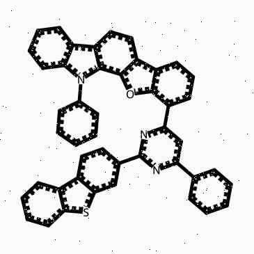 c1ccc(-c2cc(-c3cccc4c3oc3c4ccc4c5ccccc5n(-c5ccccc5)c43)nc(-c3ccc4c(c3)sc3ccccc34)n2)cc1